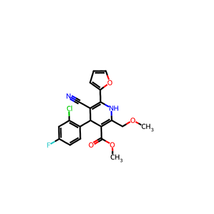 COCC1=C(C(=O)OC)C(c2ccc(F)cc2Cl)C(C#N)=C(c2ccco2)N1